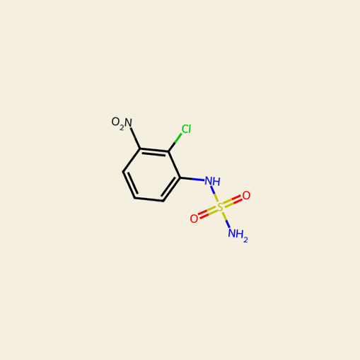 NS(=O)(=O)Nc1cccc([N+](=O)[O-])c1Cl